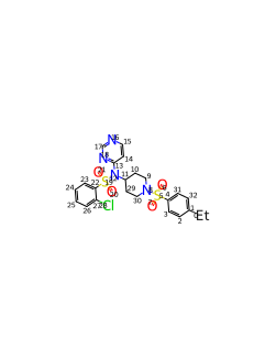 CCc1ccc(S(=O)(=O)N2CCC(N(c3ccncn3)S(=O)(=O)c3ccccc3Cl)CC2)cc1